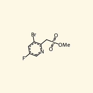 COS(=O)(=O)Cc1ncc(F)cc1Br